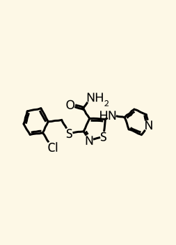 NC(=O)c1c(SCc2ccccc2Cl)nsc1Nc1ccncc1